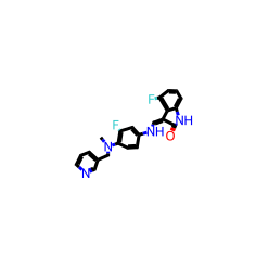 CN(Cc1cccnc1)c1ccc(NC=C2C(=O)Nc3cccc(F)c32)cc1F